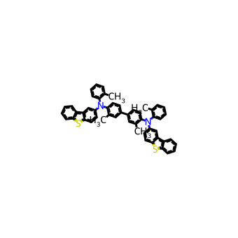 Cc1ccccc1N(c1ccc2sc3ccccc3c2c1)c1ccc(-c2ccc(N(c3ccc4sc5ccccc5c4c3)c3ccccc3C)c(C)c2)cc1C